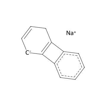 C1=CCC2=C([CH-]1)c1ccccc12.[Na+]